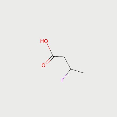 CC(I)CC(=O)O